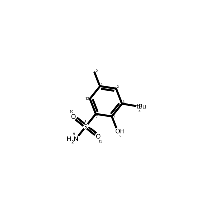 Cc1cc(C(C)(C)C)c(O)c(S(N)(=O)=O)c1